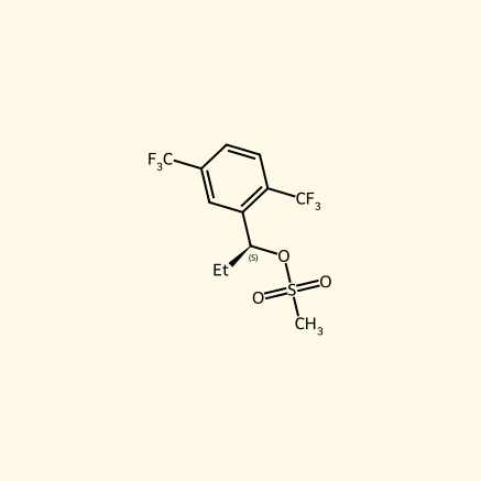 CC[C@H](OS(C)(=O)=O)c1cc(C(F)(F)F)ccc1C(F)(F)F